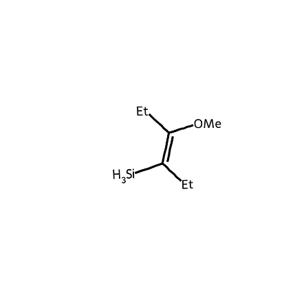 CCC([SiH3])=C(CC)OC